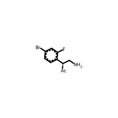 CC(=O)[C@H](CN)c1ccc(Br)cc1F